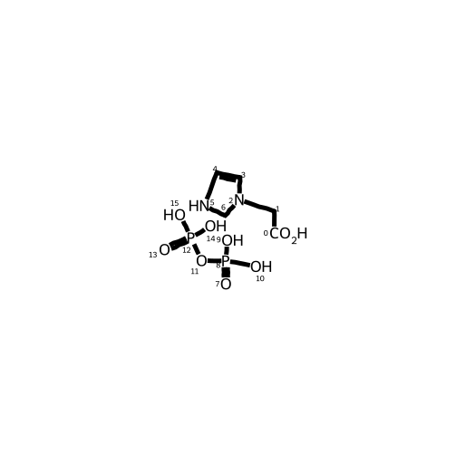 O=C(O)CN1C=CNC1.O=P(O)(O)OP(=O)(O)O